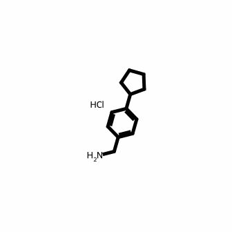 Cl.NCc1ccc(C2CCCC2)cc1